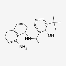 CC(NC1CC=CC2=C1C(N)=CCC2)c1cccc(C(C)(C)C)c1O